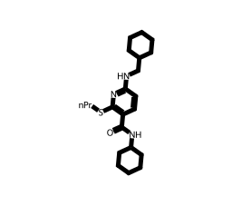 CCCSc1nc(NCC2CCCCC2)ccc1C(=O)NC1CCCCC1